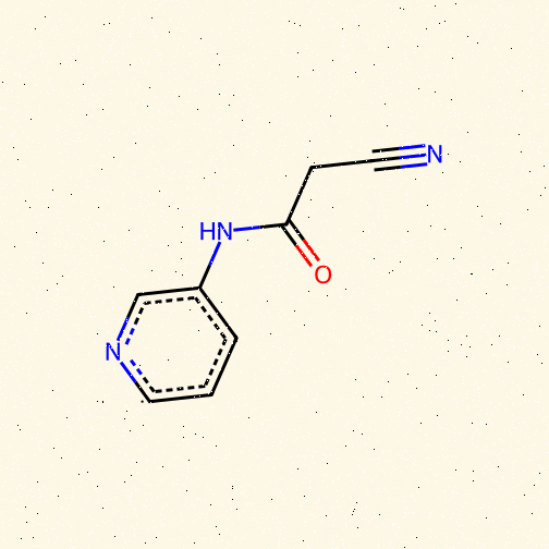 N#CCC(=O)Nc1cc[c]nc1